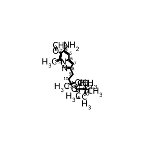 COc1c(N)cc2cc(CCC(C)(C)O[Si](C)(C)C(C)(C)C)nn2c1C